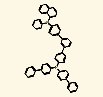 c1ccc(-c2ccc(N(c3ccc(-c4ccccc4)cc3)c3ccc(-c4cccc(-c5ccc(N(c6ccccc6)c6cccc7ccccc67)cc5)c4)cc3)cc2)cc1